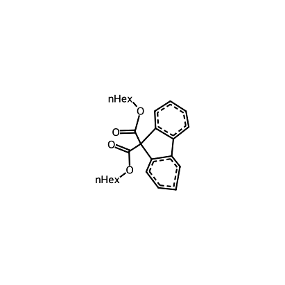 CCCCCCOC(=O)C1(C(=O)OCCCCCC)c2ccccc2-c2ccccc21